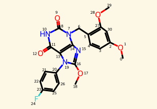 COc1ccc(Cn2c(=O)[nH]c(=O)c3c2nc(OC)n3-c2ccc(F)cc2)c(OC)c1